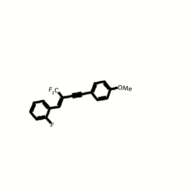 COc1ccc(C#CC(=Cc2ccccc2F)C(F)(F)F)cc1